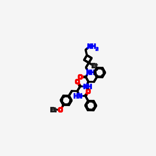 CCOc1ccc(CC(NC(=O)c2ccccc2)C(=O)NC(Cc2ccccc2)C(=O)NCC2(CC)CC(CN)C2)cc1